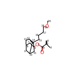 C=C(C)C(=O)OC12CC3CC(CC(C3)C1CCCCOC)C2